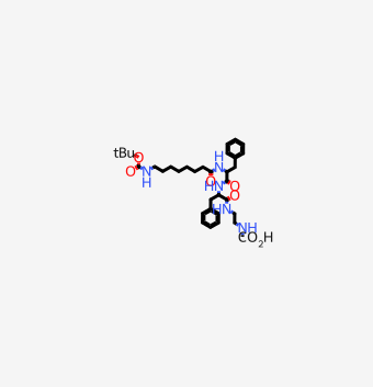 CC(C)(C)OC(=O)NCCCCCCCC(=O)NC(Cc1ccccc1)C(=O)NC(Cc1ccccc1)C(=O)NCCNC(=O)O